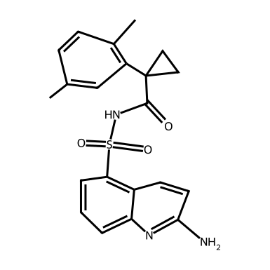 Cc1ccc(C)c(C2(C(=O)NS(=O)(=O)c3cccc4nc(N)ccc34)CC2)c1